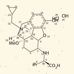 CO[C@@]12CCC(N[C@@H](C(=O)O)C(C)C)C3Oc4c(O)ccc5c4[C@@]31CCN(CC1CC1)[C@@H]2C5.Cl.Cl